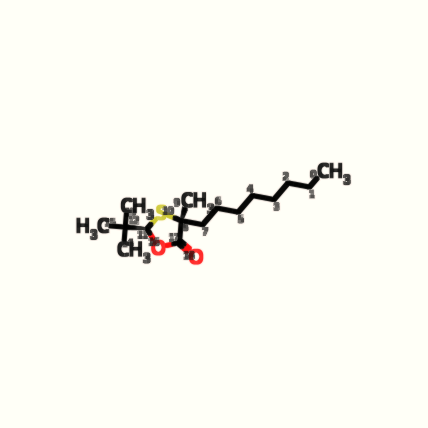 CCCCCCCC[C@@]1(C)S[C@H](C(C)(C)C)OC1=O